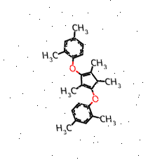 C[C]1C(C)=C(Oc2ccc(C)cc2C)C(C)=C1Oc1ccc(C)cc1C